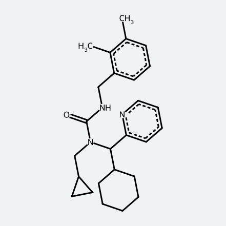 Cc1cccc(CNC(=O)N(CC2CC2)C(c2ccccn2)C2CCCCC2)c1C